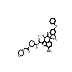 Cc1cc(Oc2ccccc2)ccc1C1(N)C(=O)C(N)c2c(C(=O)NC3CCCN(C(=O)CN4CCOCC4)C3)sc3c(N)ccc1c23